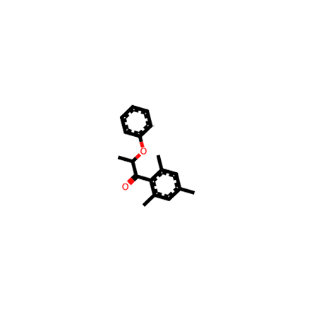 Cc1cc(C)c(C(=O)C(C)Oc2[c]cccc2)c(C)c1